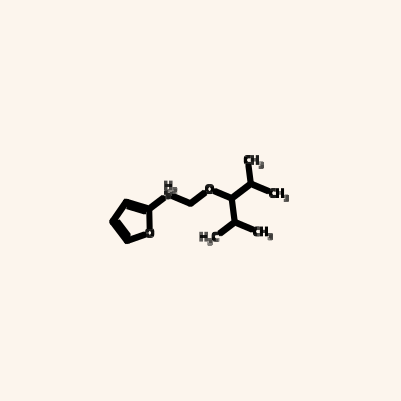 CC(C)C(OC[SiH2]c1ccco1)C(C)C